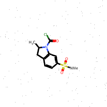 CNS(=O)(=O)c1ccc2c(c1)N(C(=O)Cl)C(C)C2